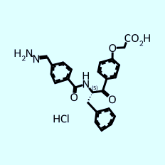 Cl.NN=Cc1ccc(C(=O)N[C@@H](Cc2ccccc2)C(=O)c2ccc(OCC(=O)O)cc2)cc1